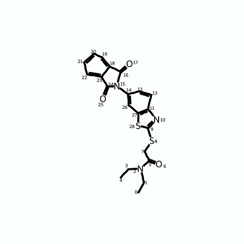 CCN(CC)C(=O)CSc1nc2ccc(N3C(=O)c4ccccc4C3=O)cc2s1